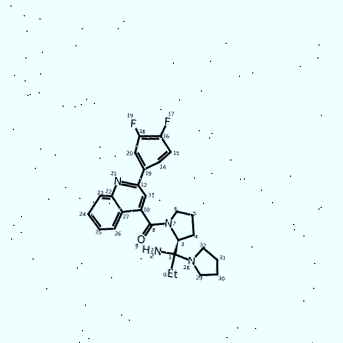 CCC(N)([C@@H]1CCCN1C(=O)c1cc(-c2ccc(F)c(F)c2)nc2ccccc12)N1CCCC1